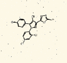 CC(C)c1nnc(-c2nn(-c3ccc(Cl)cc3Cl)c(-c3ccc(Cl)cc3)c2C#N)o1